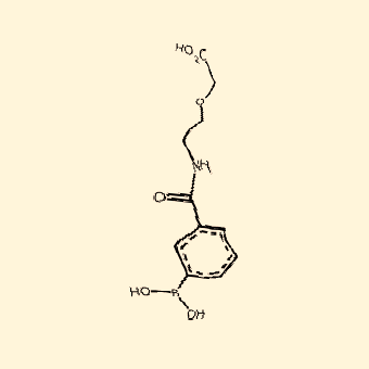 O=C(O)COCCNC(=O)c1cccc(B(O)O)c1